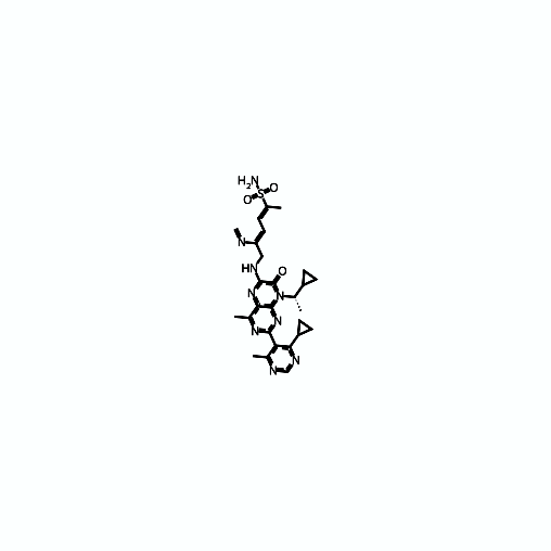 C=N/C(=C\C=C(/C)S(N)(=O)=O)CNc1nc2c(C)nc(-c3c(C)ncnc3C3CC3)nc2n([C@@H](C)C2CC2)c1=O